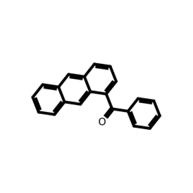 O=C(c1ccccc1)c1cccc2cc3ccccc3cc12